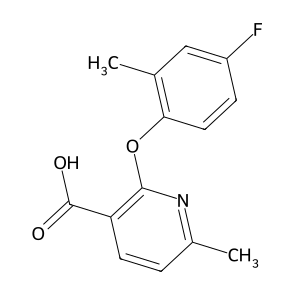 Cc1ccc(C(=O)O)c(Oc2ccc(F)cc2C)n1